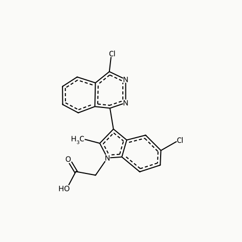 Cc1c(-c2nnc(Cl)c3ccccc23)c2cc(Cl)ccc2n1CC(=O)O